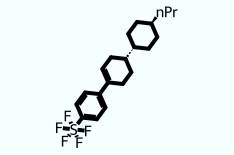 CCC[C@H]1CC[C@H](C2CC=C(c3ccc(S(F)(F)(F)(F)F)cc3)CC2)CC1